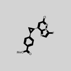 COC(=O)c1ccc([C@H]2C[C@@H]2c2cc(Cl)nn3c(F)cnc23)cc1